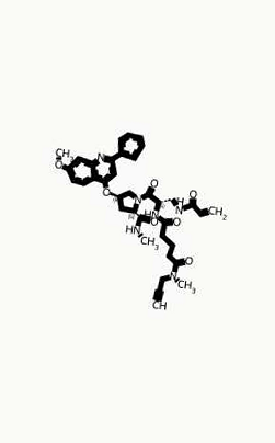 C#CCN(C)C(=O)CCCC(=O)N[C@@H](CNC(=O)C=C)C(=O)N1C[C@H](Oc2cc(-c3ccccc3)nc3cc(OC)ccc23)C[C@H]1C(=O)NC